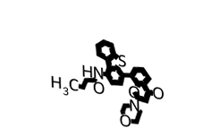 CCCC(=O)Nc1ccc(-c2cccc3c(=O)cc(N4CCOCC4)oc23)c2sc3ccccc3c12